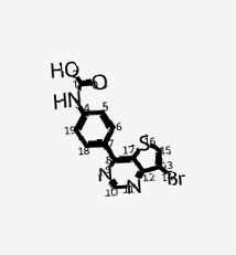 O=C(O)Nc1ccc(-c2ncnc3c(Br)csc23)cc1